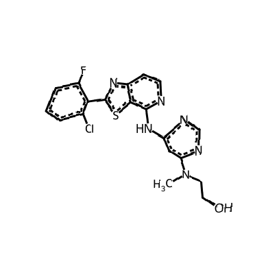 CN(CCO)c1cc(Nc2nccc3nc(-c4c(F)cccc4Cl)sc23)ncn1